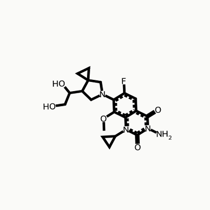 COc1c(N2CC(C(O)CO)C3(CC3)C2)c(F)cc2c(=O)n(N)c(=O)n(C3CC3)c12